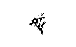 CCc1ccc(NC(=O)N(C)OC)cc1Oc1cc(C#N)nc(C#N)n1